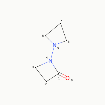 O=C1CCN1N1CCC1